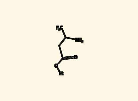 CCOC(=O)CC(N)C(F)(F)F